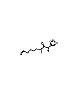 O=C(NCCCCC=S)Nc1cnns1